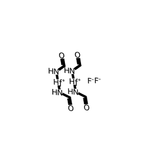 O=C[NH][Hf+][NH]C=O.O=C[NH][Hf+][NH]C=O.[F-].[F-]